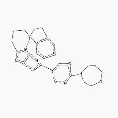 c1ccc2c(c1)CCC21CCCc2nc3ccc(-c4cnc(N5CCCOCC5)nc4)nc3n21